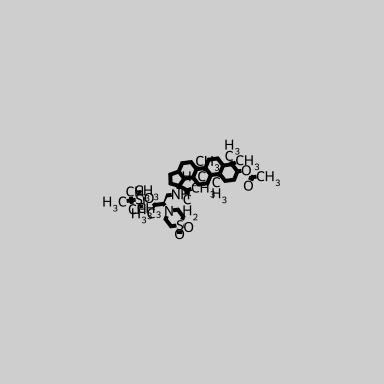 C=C(C)C1(NC[C@H]([C@@H](C)O[Si](C)(C)C(C)(C)C)N2CCS(=O)(=O)CC2)CCC2CCC3(C)C(CCC4C5(C)CCC(OC(C)=O)C(C)(C)C5CCC43C)C21